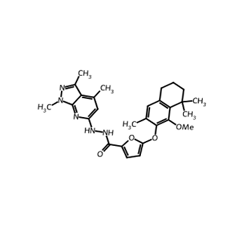 COc1c(Oc2ccc(C(=O)NNc3cc(C)c4c(C)nn(C)c4n3)o2)c(C)cc2c1C(C)(C)CCC2